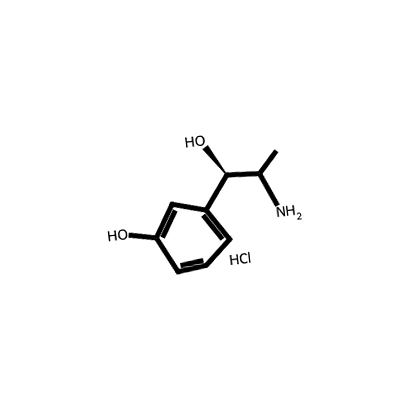 CC(N)[C@H](O)c1cccc(O)c1.Cl